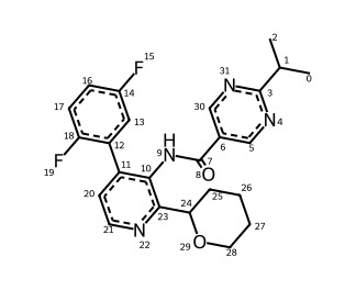 CC(C)c1ncc(C(=O)Nc2c(-c3cc(F)ccc3F)ccnc2C2CCCCO2)cn1